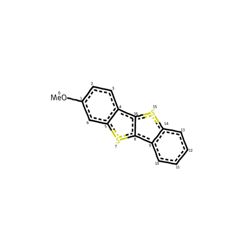 COc1ccc2c(c1)sc1c3ccccc3sc21